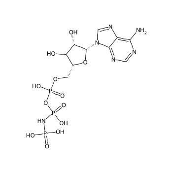 Nc1ncnc2c1ncn2[C@@H]1O[C@H](COP(=O)(O)OP(=O)(O)NP(=O)(O)O)C(O)[C@@H]1O